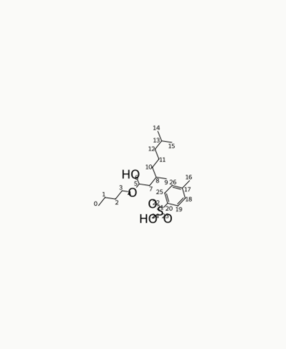 CCCCOC(O)CC(C)CCCC(C)C.Cc1ccc(S(=O)(=O)O)cc1